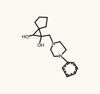 OC1C(O)(CN2CCN(c3ccccc3)CC2)C12CCCC2